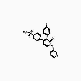 CS(=O)(=O)c1ccc(-c2cnn(Cc3cccnc3)c(=O)c2-c2ccc(F)cc2)cc1